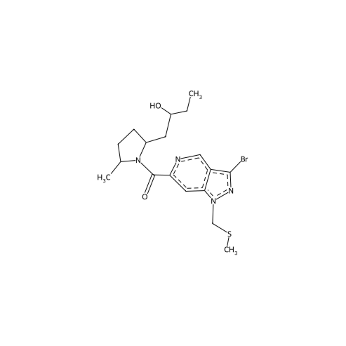 CCC(O)CC1CCC(C)N1C(=O)c1cc2c(cn1)c(Br)nn2CSC